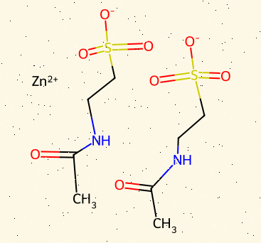 CC(=O)NCCS(=O)(=O)[O-].CC(=O)NCCS(=O)(=O)[O-].[Zn+2]